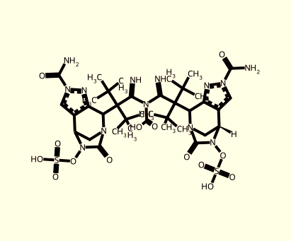 CC(C)(C)C(C(=N)N(C(=N)C(C1c2nn(C(N)=O)cc2[C@H]2CN1C(=O)N2OS(=O)(=O)O)(C(C)(C)C)C(C)(C)C)C(=O)O)(C1c2nn(C(N)=O)cc2C2CN1C(=O)N2OS(=O)(=O)O)C(C)(C)C